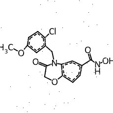 COc1ccc(Cl)c(CN2C(=O)COc3ccc(C(=O)NO)cc32)c1